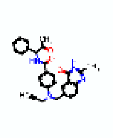 C#CCN(Cc1ccc2nc(C)[nH]c(=O)c2c1)c1ccc(C(=O)NC(C(C)=O)c2ccccc2)cc1